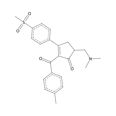 Cc1ccc(C(=O)C2=C(c3ccc(S(C)(=O)=O)cc3)CC(CN(C)C)C2=O)cc1